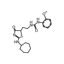 COc1ccccc1NC(=O)NCCC1SC(NC2CCCCCC2)=NC1=O